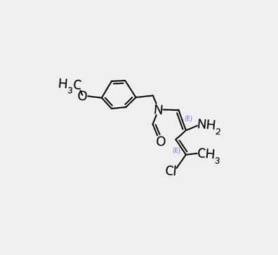 COc1ccc(CN(C=O)/C=C(N)\C=C(/C)Cl)cc1